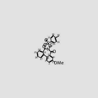 COc1ccc2c(c1)c(=O)n(OS(=O)(=O)c1ccc(C)cc1)c(=O)c1ccccc12